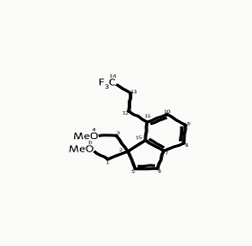 COCC1(COC)C=Cc2cccc(CCC(F)(F)F)c21